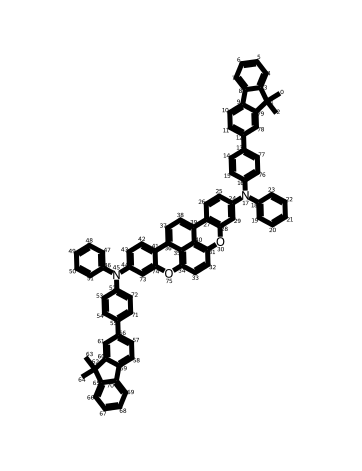 CC1(C)c2ccccc2-c2ccc(-c3ccc(N(c4ccccc4)c4ccc5c(c4)Oc4ccc6c7c(ccc-5c47)-c4ccc(N(c5ccccc5)c5ccc(-c7ccc8c(c7)C(C)(C)c7ccccc7-8)cc5)cc4O6)cc3)cc21